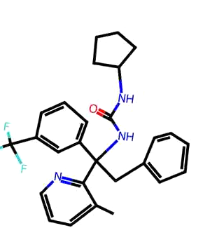 Cc1cccnc1C(Cc1ccccc1)(NC(=O)NC1CCCC1)c1cccc(C(F)(F)F)c1